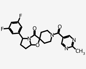 Cc1ncc(C(=O)N2CCC3(CC2)OC2CCC(c4cc(F)cc(F)c4)N2C3=O)cn1